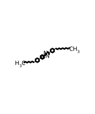 CCCCCCCCCC[C@H]1CC[C@H](c2cnc(-c3ccc([C@H]4CC[C@H](CCCCCCC)CC4)cc3)nc2)CC1